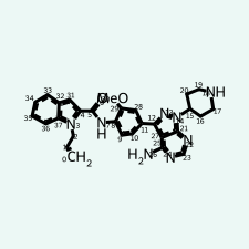 C=CCn1c(C(=O)Nc2ccc(-c3nn(C4CCNCC4)c4ncnc(N)c34)cc2OC)cc2ccccc21